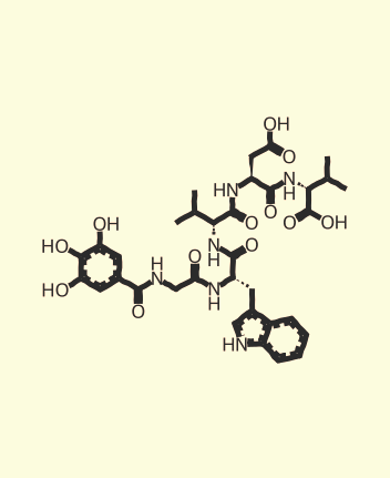 CC(C)[C@@H](NC(=O)[C@H](CC(=O)O)NC(=O)[C@H](NC(=O)[C@H](Cc1c[nH]c2ccccc12)NC(=O)CNC(=O)c1cc(O)c(O)c(O)c1)C(C)C)C(=O)O